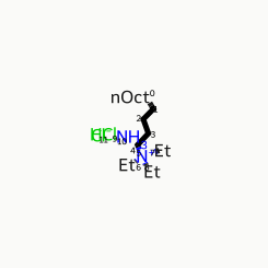 CCCCCCCCCCCC[N+](CC)(CC)CC.Cl.N.[Cl-]